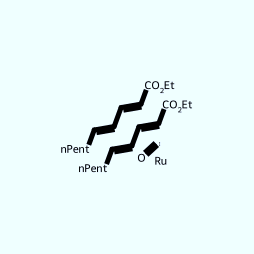 CCCCCC=CC=CC(=O)OCC.CCCCCC=CC=CC(=O)OCC.[C]=O.[Ru]